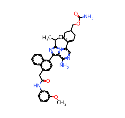 COc1cccc(NC(=O)Cc2ccc(-c3nc(C(C)C)n4c(C5=CCC(COC(N)=O)CC5)cnc(N)c34)c3ccccc23)c1